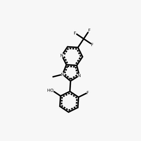 Cn1c(-c2c(O)cccc2F)nc2cc(C(F)(F)F)cnc21